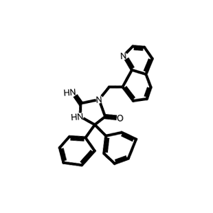 N=C1NC(c2ccccc2)(c2ccccc2)C(=O)N1Cc1cccc2cccnc12